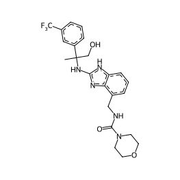 CC(CO)(Nc1nc2c(CNC(=O)N3CCOCC3)cccc2[nH]1)c1cccc(C(F)(F)F)c1